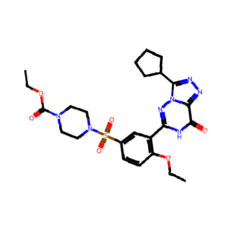 CCOC(=O)N1CCN(S(=O)(=O)c2ccc(OCC)c(-c3nn4c(C5CCCC5)nnc4c(=O)[nH]3)c2)CC1